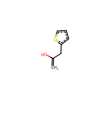 C=C(O)Cc1cccs1